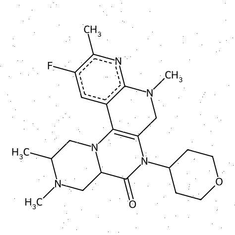 Cc1nc2c(cc1F)C1=C(CN2C)N(C2CCOCC2)C(=O)C2CN(C)C(C)CN12